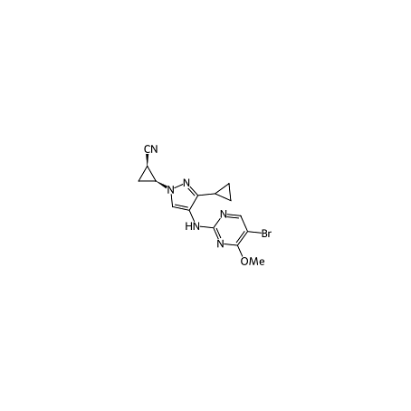 COc1nc(Nc2cn([C@H]3C[C@H]3C#N)nc2C2CC2)ncc1Br